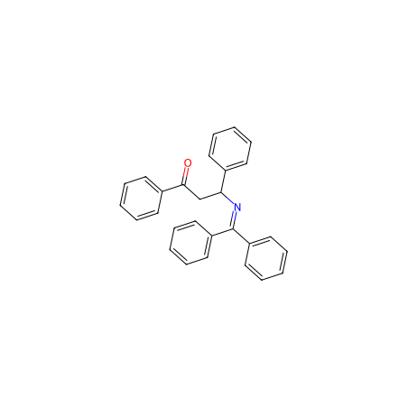 O=C(CC(N=C(c1ccccc1)c1ccccc1)c1ccccc1)c1ccccc1